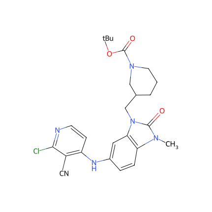 Cn1c(=O)n(CC2CCCN(C(=O)OC(C)(C)C)C2)c2cc(Nc3ccnc(Cl)c3C#N)ccc21